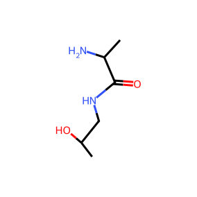 CC(O)CNC(=O)C(C)N